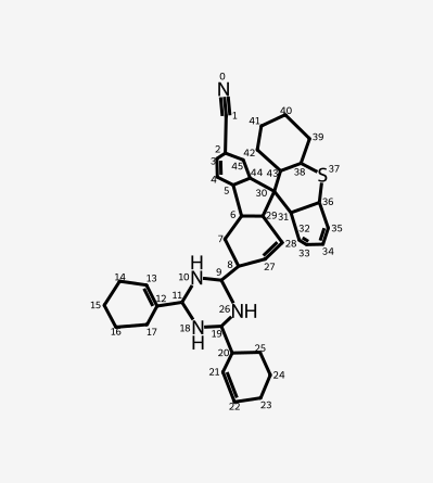 N#CC1C=CC2C3CC(C4NC(C5=CCCCC5)NC(C5C=CCCC5)N4)C=CC3C3(C4C=CC=CC4SC4CCCCC43)C2C1